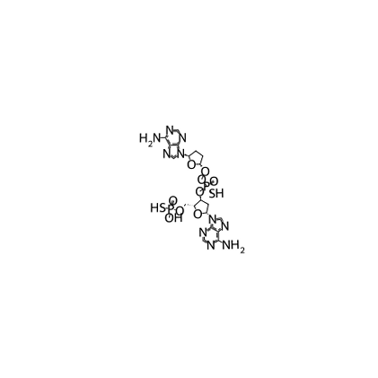 Nc1ncnc2c1ncn2[C@H]1CC[C@@H](OOP(=O)(S)O[C@H]2C[C@H](n3cnc4c(N)ncnc43)O[C@@H]2COP(=O)(O)S)O1